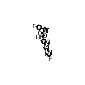 Cc1cc(-c2ccc(F)cc2)c(C(=O)C(=O)Nc2ccc3c(c2)OCC2CN(c4ncc(F)cn4)CCN32)n1C